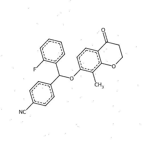 Cc1c(OC(c2ccc(C#N)cc2)c2ccccc2F)ccc2c1OCCC2=O